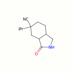 CC(C)C1(C#N)CCC2CNC(=O)C2C1